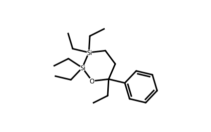 CCC1(c2ccccc2)CC[Si](CC)(CC)[Si](CC)(CC)O1